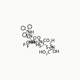 O=C(O)C1=C(CSc2snc(O)c2C(=O)O)CS[C@@H]2C(NC(=O)C(NOC(F)F)c3csc(NC(c4ccccc4)(c4ccccc4)c4ccccc4)n3)C(=O)N12